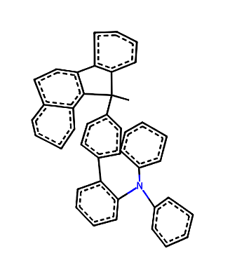 CC1(c2ccc(-c3ccccc3N(c3ccccc3)c3ccccc3)cc2)c2ccccc2-c2ccc3ccccc3c21